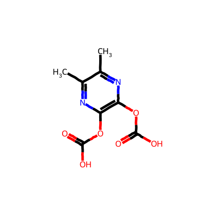 Cc1nc(OC(=O)O)c(OC(=O)O)nc1C